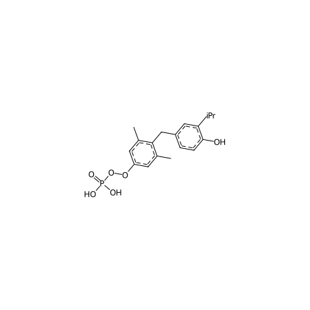 Cc1cc(OOP(=O)(O)O)cc(C)c1Cc1ccc(O)c(C(C)C)c1